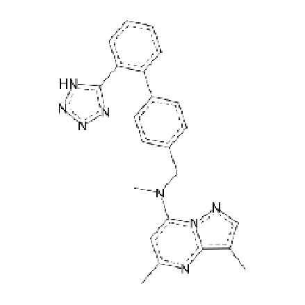 Cc1cc(N(C)Cc2ccc(-c3ccccc3-c3nnn[nH]3)cc2)n2ncc(C)c2n1